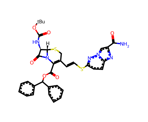 CC(C)(C)OC(=O)N[C@@H]1C(=O)N2C(C(=O)OC(c3ccccc3)c3ccccc3)=C(/C=C/Sc3ccc4nc(C(N)=O)cn4n3)CS[C@@H]12